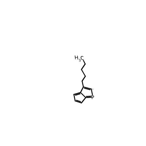 CCCCCC1=[C]P=C2C=CC=C12